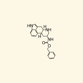 O=C(N[C@@H]1CN[C@@H]2Cc3c[nH]c4cccc(c34)[C@H]2C1)OCc1ccccc1